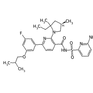 CCC1(C)C[C@@H](C)CN1c1nc(-c2cc(F)cc(OCC(C)C)c2)ccc1C(=O)NS(=O)(=O)c1cccc(N)n1